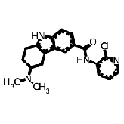 CN(C)C1CCc2[nH]c3ccc(C(=O)Nc4cccnc4Cl)cc3c2C1